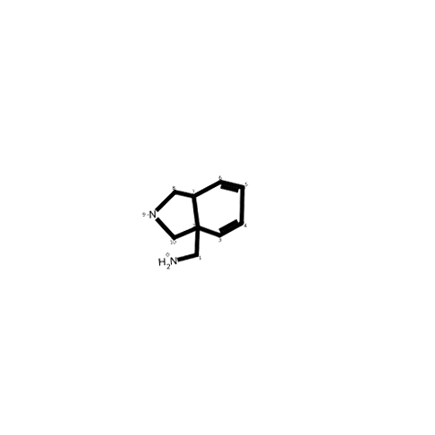 NCC12C=CC=CC1C[N]C2